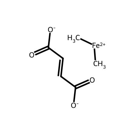 O=C([O-])/C=C/C(=O)[O-].[CH3][Fe+2][CH3]